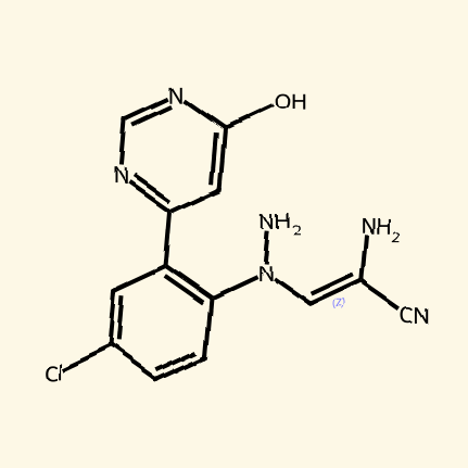 N#C/C(N)=C/N(N)c1ccc(Cl)cc1-c1cc(O)ncn1